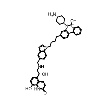 N[C@H]1CC[C@H](N(C(=O)O)c2cc(CCCCn3ccc4cc(CNC[C@H](O)c5ccc(O)c6[nH]c(=O)ccc56)ccc43)ccc2-c2ccccc2)CC1